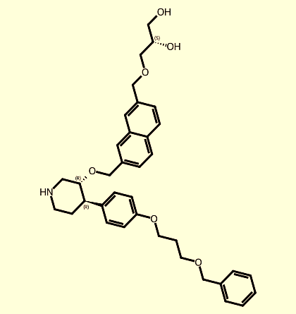 OC[C@H](O)COCc1ccc2ccc(CO[C@H]3CNCC[C@@H]3c3ccc(OCCCOCc4ccccc4)cc3)cc2c1